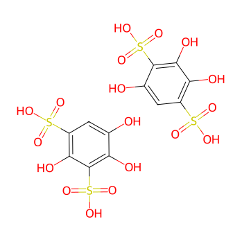 O=S(=O)(O)c1cc(O)c(O)c(S(=O)(=O)O)c1O.O=S(=O)(O)c1cc(O)c(S(=O)(=O)O)c(O)c1O